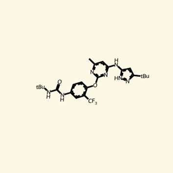 Cc1cc(Nc2cc(C(C)(C)C)n[nH]2)nc(Oc2ccc(NC(=O)NC(C)(C)C)cc2C(F)(F)F)n1